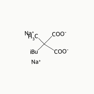 CCC(C)C(C)(C(=O)[O-])C(=O)[O-].[Na+].[Na+]